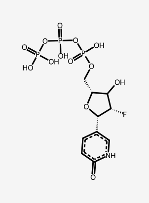 O=c1ccc([C@@H]2O[C@H](COP(=O)(O)OP(=O)(O)OP(=O)(O)O)C(O)[C@@H]2F)c[nH]1